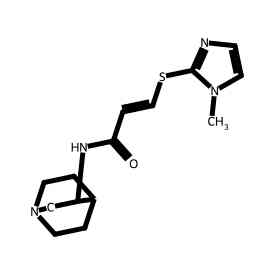 Cn1ccnc1SC=CC(=O)NC1CN2CCC1CC2